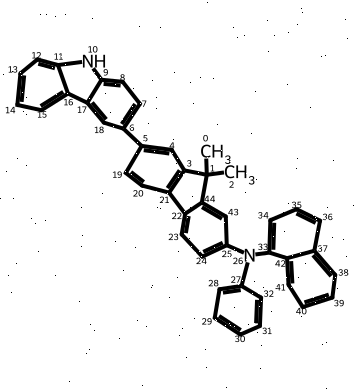 CC1(C)c2cc(-c3ccc4[nH]c5ccccc5c4c3)ccc2-c2ccc(N(c3ccccc3)c3cccc4ccccc34)cc21